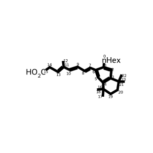 CCCCCCc1cc2c(cc1/C=C/C=C/C(C)=C/CC(=O)O)C(C)(C)CCC2(C)C